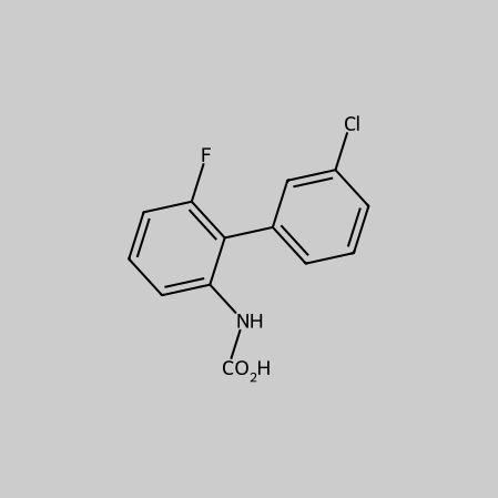 O=C(O)Nc1cccc(F)c1-c1cccc(Cl)c1